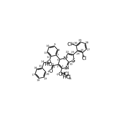 CC1=C(C(=O)O)C(c2ccccc2OCc2ccccc2)N2C=C(c3c(Cl)cccc3Cl)SC2=N1.Cl.Cl